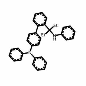 CCC(CC)(Nc1ccccc1)c1ccccc1-c1ccc(N(c2ccccc2)c2ccccc2)cc1